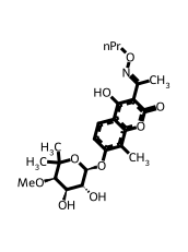 CCCON=C(C)c1c(O)c2ccc(O[C@@H]3OC(C)(C)[C@H](OC)[C@H](O)[C@H]3O)c(C)c2oc1=O